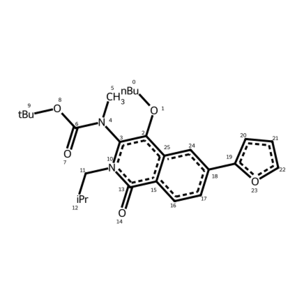 CCCCOc1c(N(C)C(=O)OC(C)(C)C)n(CC(C)C)c(=O)c2ccc(-c3ccco3)cc12